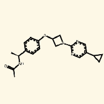 CC(=O)N[C@@H](C)c1ccc(OC2CN(c3ncc(C4CC4)cn3)C2)cc1